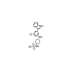 CC(C)S(=O)(=O)N[C@H]1CC[C@H](Nc2cc(-c3c[nH]c4ncccc34)cc(Cl)n2)CC1